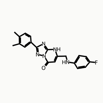 Cc1ccc(-c2nc3[nH]c(CNc4ccc(F)cc4)cc(=O)n3n2)cc1C